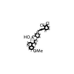 COc1ccc2nccc(C(F)CC[C@@H]3CCN(CC#Cc4cccc(Cl)c4Cl)C[C@@H]3C(=O)O)c2c1